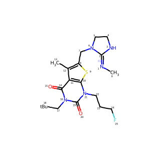 C/N=C1\NCCN1Cc1sc2c(c1C)c(=O)n(CC(C)(C)C)c(=O)n2CCCF